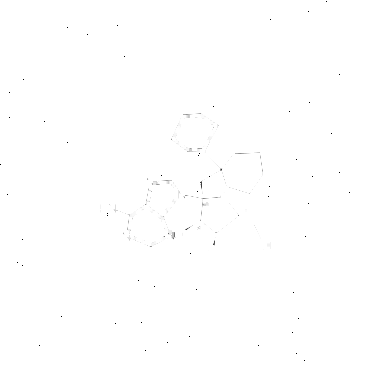 Nc1ncnc2c1ncn2[C@]1(CC2(c3ccccc3)CCCCC2)O[C@H](CO)[C@@H](O)[C@H]1O